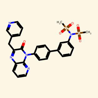 CS(=O)(=O)N(c1cccc(-c2ccc(-n3c(=O)c(Cc4cccnc4)nc4cccnc43)cc2)c1)S(C)(=O)=O